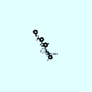 COc1ccc(F)cc1C(C)(C)C[C@](O)(CNc1cc(C)cc2c1cnn2-c1cccc(C(=O)OCc2ccccc2)c1)C(F)(F)F